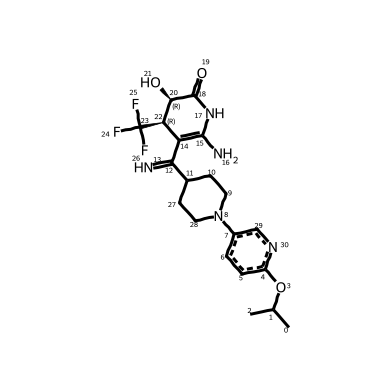 CC(C)Oc1ccc(N2CCC(C(=N)C3=C(N)NC(=O)[C@H](O)[C@@H]3C(F)(F)F)CC2)cn1